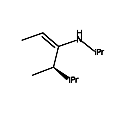 C/C=C(/NC(C)C)[C@H](C)C(C)C